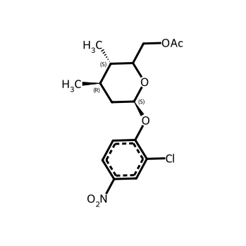 CC(=O)OCC1O[C@@H](Oc2ccc([N+](=O)[O-])cc2Cl)C[C@@H](C)[C@@H]1C